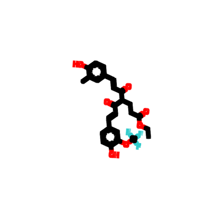 CCOC(=O)CCC(C(=O)/C=C/c1ccc(O)c(C)c1)C(=O)/C=C/c1ccc(O)c(OC(F)(F)F)c1